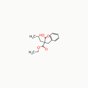 CCCC(Cc1ccccc1)(C(=O)O)C(=O)OCC